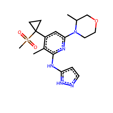 Cc1c(C2(S(C)(=O)=O)CC2)cc(N2CCOCC2C)nc1Nc1ccn[nH]1